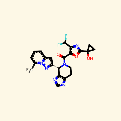 O=C(c1oc(C2(O)CC2)nc1C(F)F)N1CCc2[nH]cnc2[C@@H]1c1cc2cccc(C(F)(F)F)n2n1